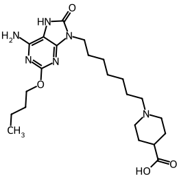 CCCCOc1nc(N)c2[nH]c(=O)n(CCCCCCCN3CCC(C(=O)O)CC3)c2n1